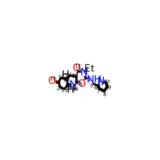 CCN(C(=O)NCc1ccccn1)C(=O)[C@@H]1C[C@@H]2CC(=O)CC[C@H]2N(C)C1